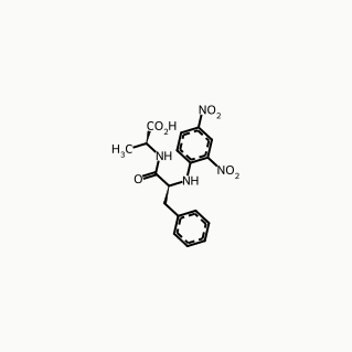 C[C@H](NC(=O)[C@H](Cc1ccccc1)Nc1ccc([N+](=O)[O-])cc1[N+](=O)[O-])C(=O)O